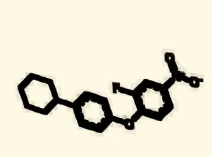 O=[N+]([O-])c1ccc(Oc2ccc(C3CCCCC3)cc2)c(F)c1